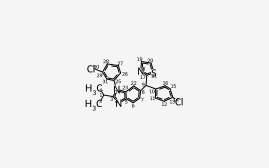 CC(C)c1nc2ccc(C(c3ccc(Cl)cc3)c3nccs3)cc2n1-c1cccc(Cl)c1